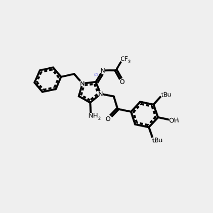 CC(C)(C)c1cc(C(=O)Cn2c(N)cn(Cc3ccccc3)/c2=N/C(=O)C(F)(F)F)cc(C(C)(C)C)c1O